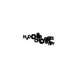 CCCSP(=O)(OCC)Oc1cccc(OS(=O)(=O)c2ccc(C)cc2C)c1